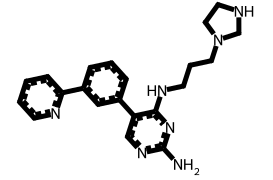 Nc1ncc(-c2cccc(-c3ccccn3)c2)c(NCCCN2CCNC2)n1